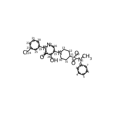 CN(c1ccccc1)S(=O)(=O)C1CCN(c2cnn(-c3cccc(Cl)c3)c(=O)c2O)CC1